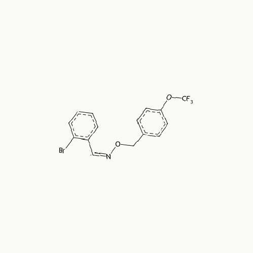 FC(F)(F)Oc1ccc(CO/N=[C]\c2ccccc2Br)cc1